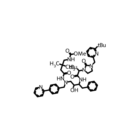 COC(=O)NCC(C)(C)CC(=O)NN(Cc1ccc(-c2ccccn2)cc1)CC(O)C(Cc1ccccc1)NC(=O)C(N1CCN(Cc2cccc(C(C)(C)C)n2)C1=O)C(C)(C)C